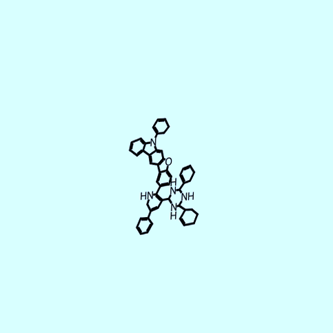 C1=CCCC(C2NC(C3=C(c4ccc5oc6cc7c(cc6c5c4)c4ccccc4n7C4=CC=CCC4)NCC(c4ccccc4)=C3)NC(C3C=CCCC3)N2)=C1